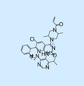 C=CC(=O)N1CC(C)N(/C(=N/[SH]=O)c2cc(Cl)c(-c3ccccc3F)nc2Nc2c(N)ncnc2C(C)C)CC1C